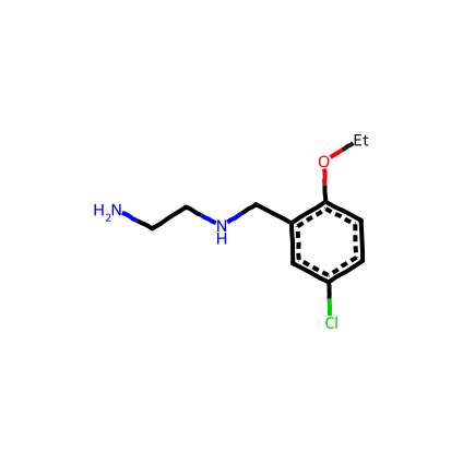 CCOc1ccc(Cl)cc1CNCCN